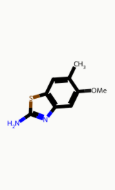 COc1cc2nc(N)sc2cc1C